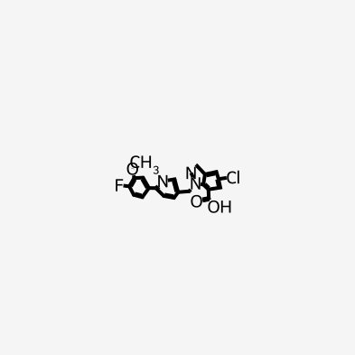 COc1cc(-c2ccc(Cn3ncc4cc(Cl)cc(C(=O)O)c43)cn2)ccc1F